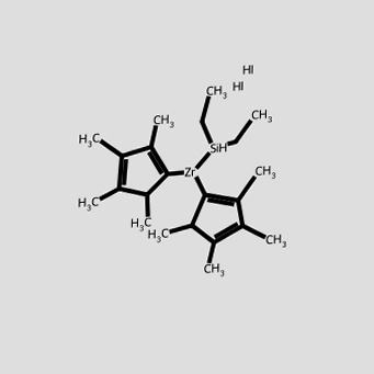 CC[SiH](CC)[Zr]([C]1=C(C)C(C)=C(C)C1C)[C]1=C(C)C(C)=C(C)C1C.I.I